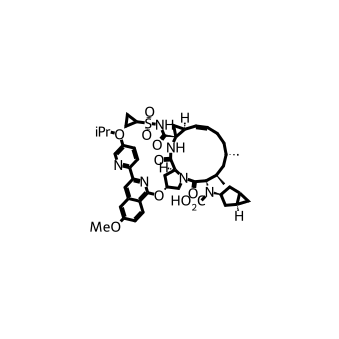 COc1ccc2c(O[C@@H]3C[C@H]4C(=O)N[C@]5(C(=O)NS(=O)(=O)C6CC6)C[C@H]5/C=C\CC[C@H](C)C[C@@H](C)[C@H](N(C(=O)O)[C@H]5CC6C[C@H]6C5)C(=O)N4C3)nc(-c3ccc(OC(C)C)cn3)cc2c1